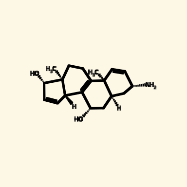 C[C@]12CCC3=C([C@@H](O)C[C@@H]4C[C@@H](N)C=C[C@]34C)[C@@H]1C=C[C@@H]2O